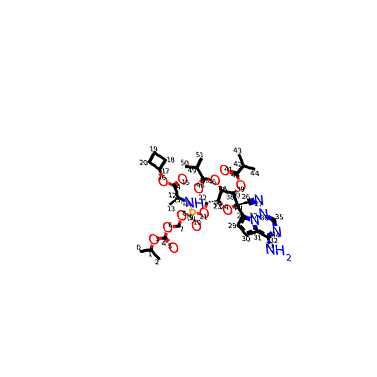 CC(C)OC(=O)OCO[P@](=O)(N[C@@H](C)C(=O)OC1CCC1)OC[C@H]1O[C@@](C#N)(c2ccc3c(N)ncnn23)[C@H](OC(=O)C(C)C)[C@@H]1OC(=O)C(C)C